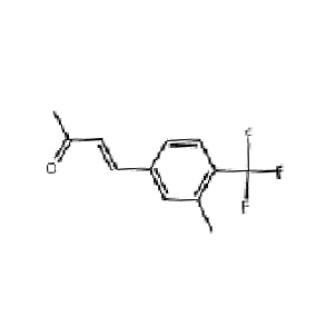 CC(=O)C=Cc1ccc(C(F)(F)F)c(C)c1